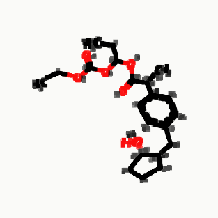 CCOC(=O)OC(CC)OC(=O)[C@@H](C)c1ccc(C[C@H]2CCC[C@@H]2O)cc1